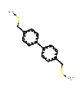 O=S(=O)(O)SCc1ccc(-c2ccc(CSS(=O)(=O)O)cc2)cc1